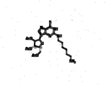 CC(=O)OC[C@H]1OC(n2cnc3c(=S)[nH]c(NCCCCCCN)nc32)C(OC(C)=O)[C@H]1OC(C)=O